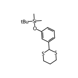 CC(C)(C)[Si](C)(C)Oc1cccc(C2SCCCS2)c1